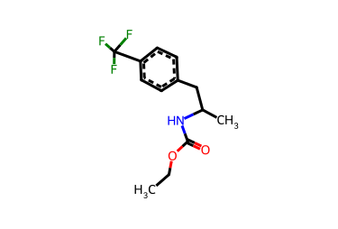 CCOC(=O)NC(C)Cc1ccc(C(F)(F)F)cc1